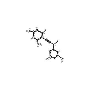 COc1cc(Br)cc(C(C)C#Cc2c(C)nc(N)nc2N)c1